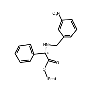 CCCC(C)OC(=O)[C@@H](NCc1cccc([N+](=O)[O-])c1)c1ccccc1